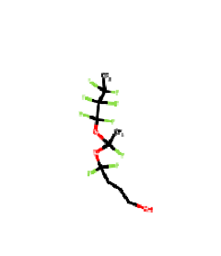 OCCCC(F)(F)OC(F)(OC(F)(F)C(F)(F)C(F)(F)C(F)(F)F)C(F)(F)F